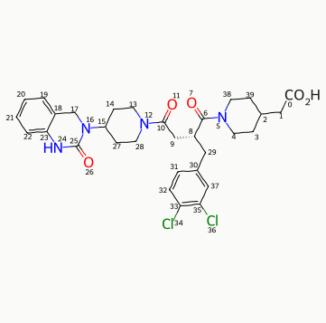 O=C(O)CC1CCN(C(=O)[C@@H](CC(=O)N2CCC(N3Cc4ccccc4NC3=O)CC2)Cc2ccc(Cl)c(Cl)c2)CC1